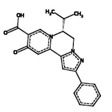 CC(C)[C@@H]1Cn2nc(-c3ccccc3)cc2-c2cc(=O)c(C(=O)O)cn21